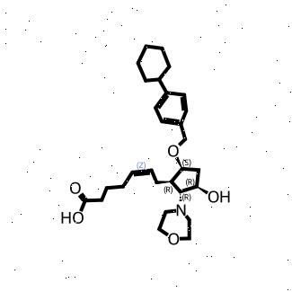 O=C(O)CCC/C=C\C[C@@H]1[C@@H](N2CCOCC2)[C@H](O)C[C@@H]1OCc1ccc(C2CCCCC2)cc1